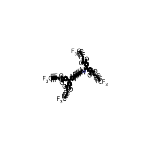 N=C(/N=C\CN(c1ccc2c(c1)C(=O)N(CCC(F)(F)C(F)(F)C(F)(F)C(F)(F)F)C2=O)c1ccc2c(c1)C(=O)N(CCC(F)(F)C(F)(F)C(F)(F)C(F)(F)F)C2=O)C(F)(F)C(F)(F)C(F)(F)C(F)(F)c1ncc(N(c2ccc3c(c2)C(=O)N(CCC(F)(F)C(F)(F)C(F)(F)C(F)(F)F)C3=O)c2ccc3c(c2)C(=O)N(CCC(F)(F)C(F)(F)C(F)(F)C(F)(F)F)C3=O)cn1